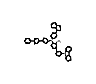 Cc1cc(-c2cccc(-n3c4ccccc4c4ccccc43)c2)ccc1N(c1ccc(-c2ccc(-c3ccccc3)cc2)cc1)c1ccc(-c2cccc3ccccc23)cc1